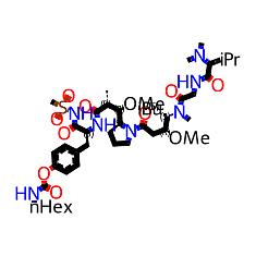 CCCCCCNC(=O)Oc1ccc(C[C@H](NC(=O)[C@H](C)[C@@H](OC)[C@@H]2CCCN2C(=O)C[C@@H](OC)[C@H]([C@@H](C)CC)N(C)C(=O)CNC(=O)C(C(C)C)N(C)C)C(=O)NS(C)(=O)=O)cc1